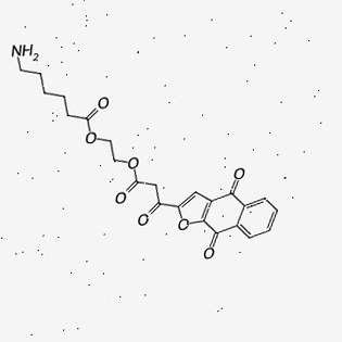 NCCCCCC(=O)OCCOC(=O)CC(=O)c1cc2c(o1)C(=O)c1ccccc1C2=O